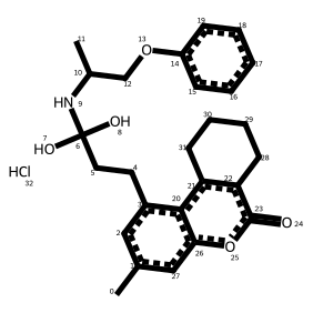 Cc1cc(CCC(O)(O)NC(C)COc2ccccc2)c2c3c(c(=O)oc2c1)CCCC3.Cl